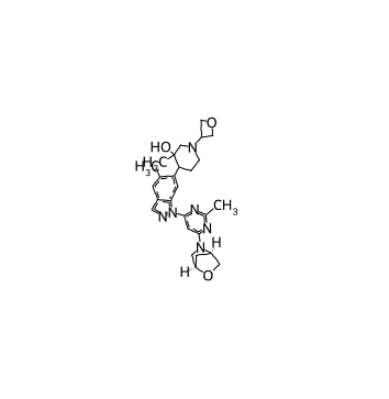 Cc1nc(N2C[C@H]3C[C@@H]2CO3)cc(-n2ncc3cc(C)c(C4CCN(C5COC5)CC4(C)O)cc32)n1